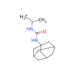 CC(C)NC(=O)NC12CC3CC(CC(C3)C1)C2